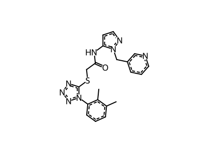 Cc1cccc(-n2nnnc2SCC(=O)Nc2ccnn2Cc2cccnc2)c1C